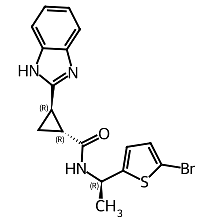 C[C@@H](NC(=O)[C@@H]1C[C@H]1c1nc2ccccc2[nH]1)c1ccc(Br)s1